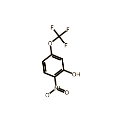 O=[N+]([O-])c1ccc(OC(F)(F)F)cc1O